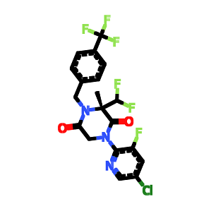 C[C@@]1(C(F)F)C(=O)N(c2ncc(Cl)cc2F)CC(=O)N1Cc1ccc(C(F)(F)F)cc1